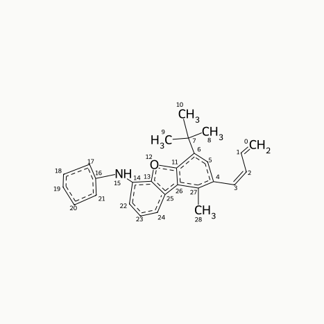 C=C/C=C\c1cc(C(C)(C)C)c2oc3c(Nc4ccccc4)cccc3c2c1C